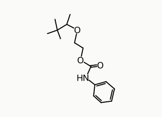 CC(OCCOC(=O)Nc1ccccc1)C(C)(C)C